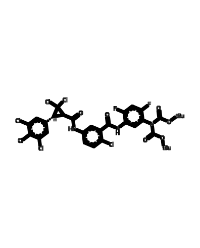 CC(C)(C)OC(=O)N(C(=O)OC(C)(C)C)c1cc(NC(=O)c2cc(NC(=O)C3[C@H](c4cc(Cl)c(Cl)c(Cl)c4)C3(Cl)Cl)ccc2Cl)c(F)cc1F